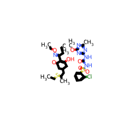 CCCC(=NOCC)C1=C(O)CC(CC(C)SCC)CC1=O.COc1nc(C)nc(NC(=O)NS(=O)(=O)c2ccccc2Cl)n1